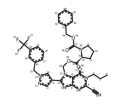 CCCn1c(C#N)nc2nc(-c3cnn(Cc4cccc(C(F)(F)F)c4)c3)n(COC(=O)[C@@H]3CCCN3C(=O)OCc3ccccc3)c2c1=O